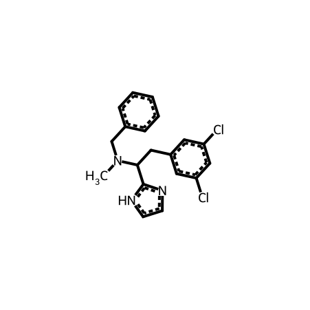 CN(Cc1ccccc1)C(Cc1cc(Cl)cc(Cl)c1)c1ncc[nH]1